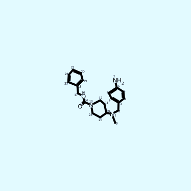 CN(Cc1ccc(N)cc1)C1CCN(C(=O)OCc2ccccc2)CC1